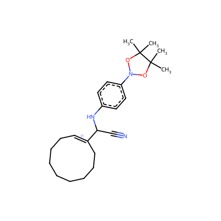 CC1(C)ON(c2ccc(NC(C#N)/C3=C/CCCCCCCC3)cc2)OC1(C)C